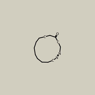 O=C1CCCCCCCCCCN=NCC1